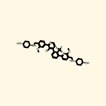 COc1cc(-c2nccc(-c3cccc(-c4ccc(CN[C@H]5CC[C@H](O)CC5)c(OC)n4)c3C(F)(F)F)c2Cl)ccc1CN[C@H]1CC[C@H](O)CC1